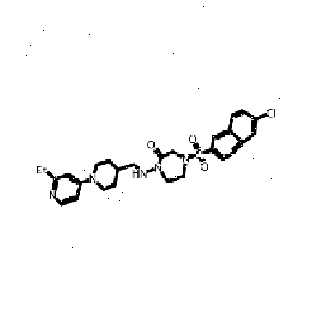 CCc1cc(N2CCC(CNN3CCN(S(=O)(=O)c4ccc5cc(Cl)ccc5c4)CC3=O)CC2)ccn1